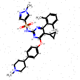 Cc1cccc(C)c1-c1nc(NS(=O)(=O)c2cnn(C)c2)nc(Oc2ccc(C3CCN(C)CC3)cc2)c1C1CC1